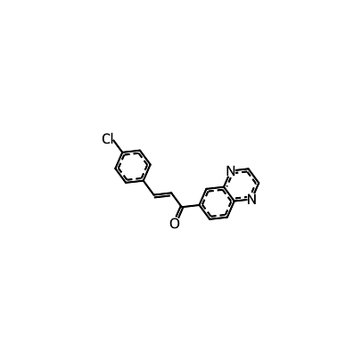 O=C(/C=C/c1ccc(Cl)cc1)c1ccc2nccnc2c1